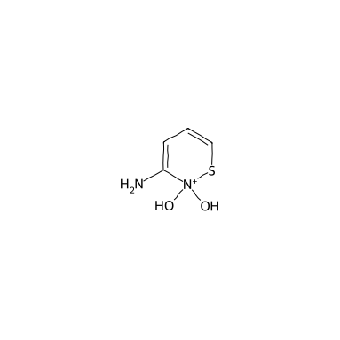 NC1=CC=CS[N+]1(O)O